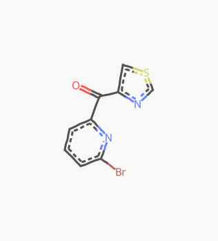 O=C(c1cscn1)c1cccc(Br)n1